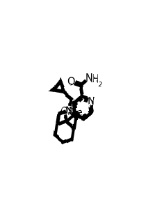 COC1(c2ccnc(C(N)=O)c2)C2CCCC1CN(CC1CC1)C2